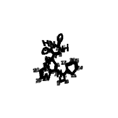 O=c1[nH]cc(-c2cc(N3CCC3c3ccccc3)c3nccn3n2)c(=O)[nH]1